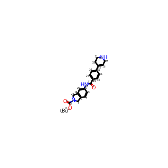 CC(C)(C)OC(=O)N1Cc2ccc(NC(=O)c3ccc(C4=CCNCC4)cc3)cc2C1